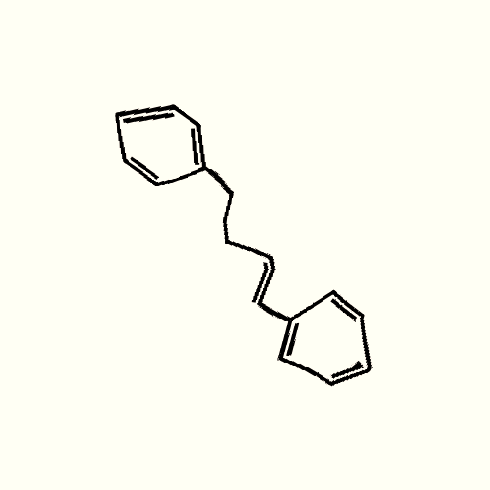 C(=Cc1ccccc1)CCc1ccccc1